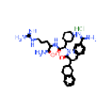 Cl.N=C(N)NCCCC(NC(=O)[C@@H](NC(=O)[C@@H](Cc1ccc(C(=N)N)cc1)C1CCc2ccccc2C1)C1CCCCC1)C(N)=O